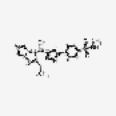 CCc1sc2cncn2c1C(O)c1cn(-c2ccc(S(=O)(=O)NC)cc2)nn1